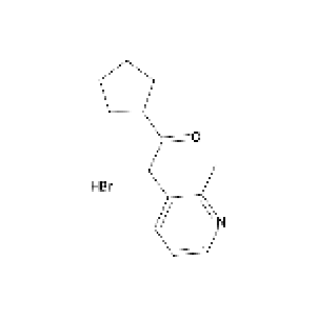 Br.Cc1ncccc1CC(=O)C1CCCC1